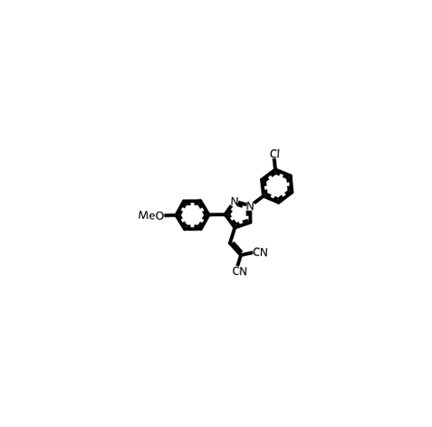 COc1ccc(-c2nn(-c3cccc(Cl)c3)cc2C=C(C#N)C#N)cc1